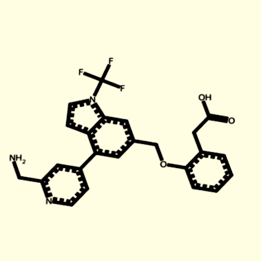 NCc1cc(-c2cc(COc3ccccc3CC(=O)O)cc3c2ccn3C(F)(F)F)ccn1